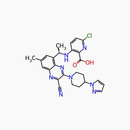 Cc1cc([C@@H](C)Nc2ccc(Cl)nc2C(=O)O)c2nc(N3CCC(n4cccn4)CC3)c(C#N)nc2c1